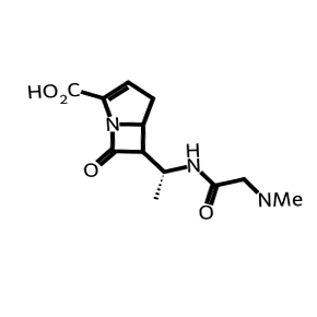 CNCC(=O)N[C@H](C)C1C(=O)N2C(C(=O)O)=CCC12